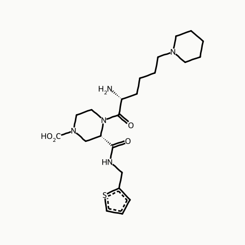 N[C@H](CCCCN1CCCCC1)C(=O)N1CCN(C(=O)O)C[C@H]1C(=O)NCc1cccs1